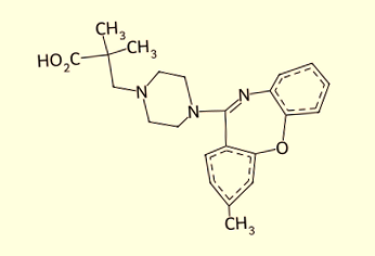 Cc1ccc2c(c1)Oc1ccccc1N=C2N1CCN(CC(C)(C)C(=O)O)CC1